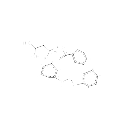 CC(O)CC(C)O.O=C(O)c1ccccc1.c1ccc(OPOc2ccccc2)cc1